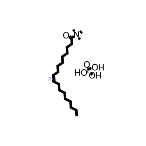 CCCCCCCC/C=C\CCCCCCCC(=O)[N+](C)(C)C.O=P(O)(O)O